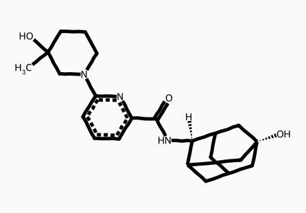 CC1(O)CCCN(c2cccc(C(=O)N[C@H]3C4CC5CC3C[C@](O)(C5)C4)n2)C1